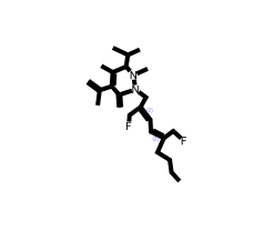 C=C(C)C1=C(C)C(C(C)C)N(C)N(C/C(=C/C=C(\CF)CCCC)CF)C1=C